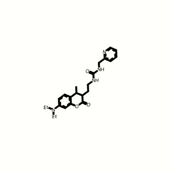 CCN(CC)c1ccc2c(c1)OC(=O)C(CCNC(=O)NCc1ccccn1)C2C